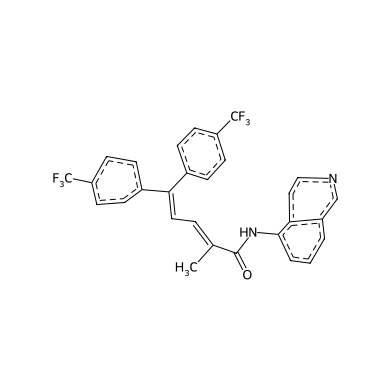 CC(=CC=C(c1ccc(C(F)(F)F)cc1)c1ccc(C(F)(F)F)cc1)C(=O)Nc1cccc2cnccc12